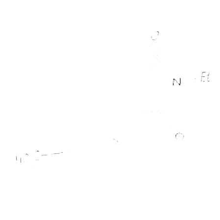 CCN1C(=O)CC(SCCC(=O)O)C1=O